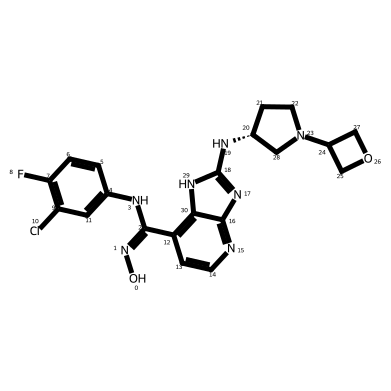 O/N=C(/Nc1ccc(F)c(Cl)c1)c1ccnc2nc(N[C@@H]3CCN(C4COC4)C3)[nH]c12